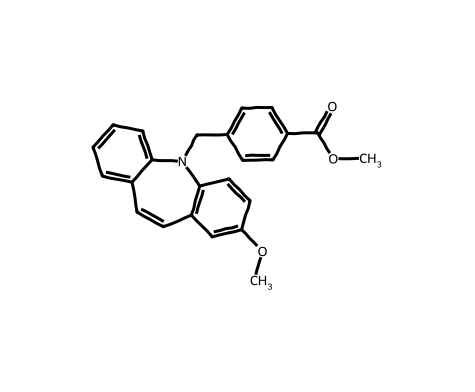 COC(=O)c1ccc(CN2c3ccccc3C=Cc3cc(OC)ccc32)cc1